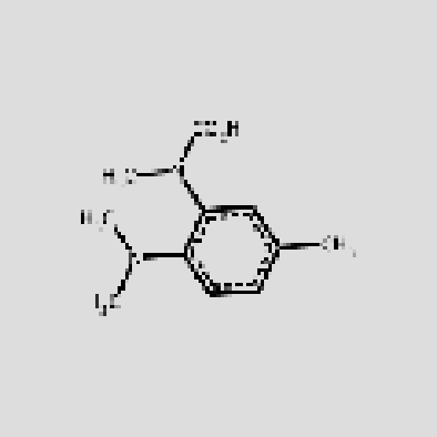 Cc1ccc(N(C)C)c(N(C)C(=O)O)c1